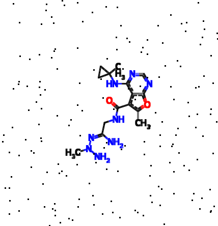 Cc1oc2ncnc(NC3(C)CC3)c2c1C(=O)NC/C(N)=N/N(C)N